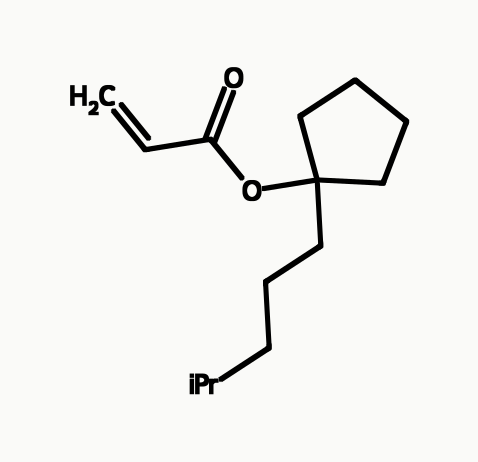 C=CC(=O)OC1(CCCC(C)C)CCCC1